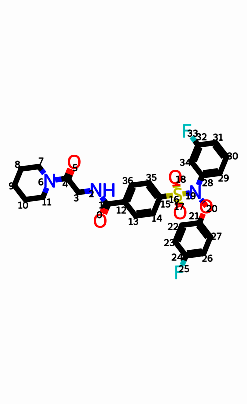 O=C(NCC(=O)N1CCCCC1)c1ccc(S(=O)(=O)N(Oc2ccc(F)cc2)c2cccc(F)c2)cc1